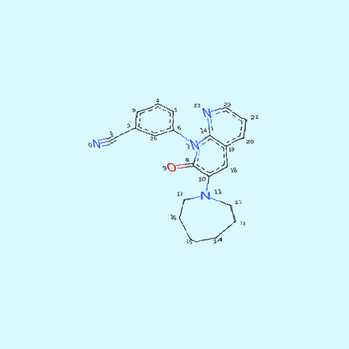 N#Cc1cccc(-n2c(=O)c(N3CCCCCC3)cc3cccnc32)c1